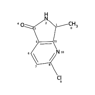 CC1NC(=O)c2ccc(Cl)nc21